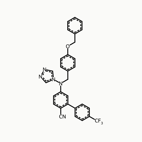 N#Cc1ccc(N(Cc2ccc(OCc3ccccc3)cc2)n2cnnc2)cc1-c1ccc(C(F)(F)F)cc1